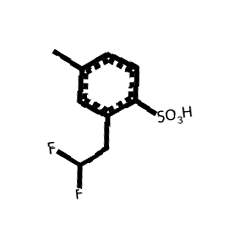 Cc1ccc(S(=O)(=O)O)c(CC(F)F)c1